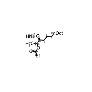 CCCCCCCCCCCC(=O)N(C)OC(=O)CC.[NaH]